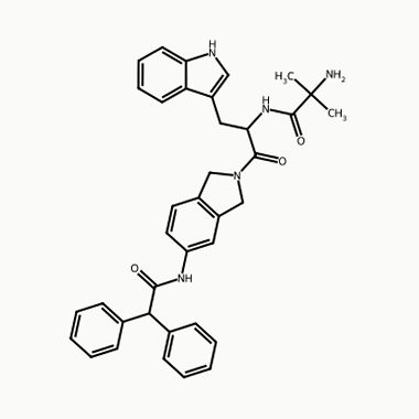 CC(C)(N)C(=O)NC(Cc1c[nH]c2ccccc12)C(=O)N1Cc2ccc(NC(=O)C(c3ccccc3)c3ccccc3)cc2C1